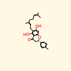 CC(C)=CCC/C(C)=C/Cc1c(O)cc2c(c1O)C(=O)C[C@@H](c1ccc(C)cc1)O2